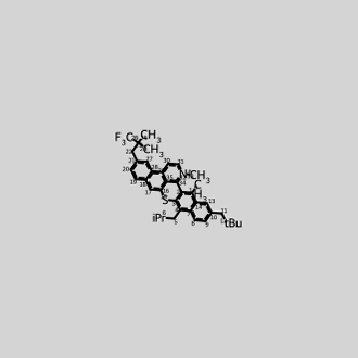 Cc1c2c(c(CC(C)C)c3ccc(CC(C)(C)C)cc13)Sc1cc3ccc(CC(C)(C)C(F)(F)F)cc3c3cc[n+](C)c-2c13